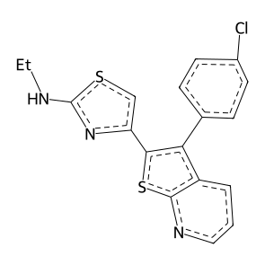 CCNc1nc(-c2sc3ncccc3c2-c2ccc(Cl)cc2)cs1